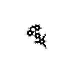 N#Cc1cc(C#N)c(-c2ccc(N3c4ccccc4CCc4ccccc43)cc2)c(C#N)c1